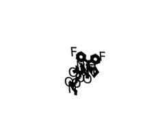 CCN(C)C(=O)OCOc1c2n(ncc1=O)[C@@H](C(c1ccc(F)cc1)c1ccc(F)cc1)[C@H]1CCCN1C2=O